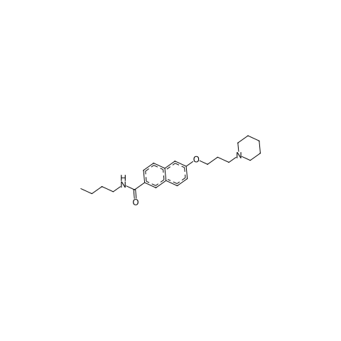 CCCCNC(=O)c1ccc2cc(OCCCN3CCCCC3)ccc2c1